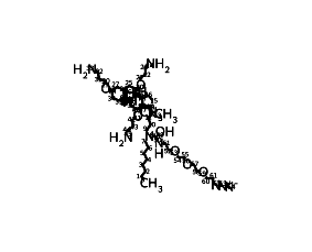 CCCCCCCCN(CCC[C@@H](C)[C@H]1CC[C@H]2[C@@H]3[C@H](OCCCN)CC4C[C@H](OCCCN)CC[C@]4(C)[C@H]3C[C@H](OCCCN)[C@]12C)C(O)NCCOCCOCCOCCN=[N+]=[N-]